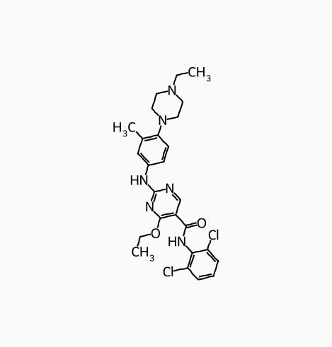 CCOc1nc(Nc2ccc(N3CCN(CC)CC3)c(C)c2)ncc1C(=O)Nc1c(Cl)cccc1Cl